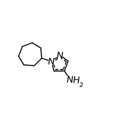 Nc1cnn(C2CCCCCC2)c1